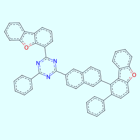 c1ccc(-c2nc(-c3ccc4cc(-c5c(-c6ccccc6)ccc6oc7ccccc7c56)ccc4c3)nc(-c3cccc4c3oc3ccccc34)n2)cc1